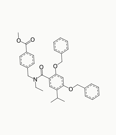 CCN(Cc1ccc(C(=O)OC)cc1)C(=O)c1cc(C(C)C)c(OCc2ccccc2)cc1OCc1ccccc1